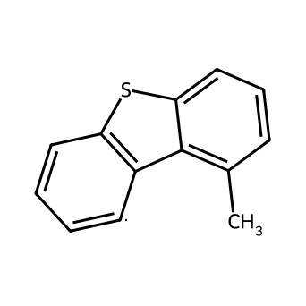 Cc1cccc2sc3ccc[c]c3c12